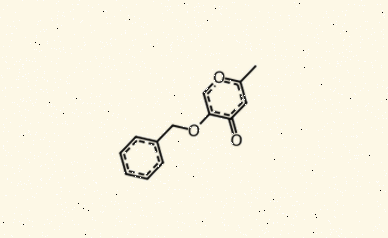 Cc1cc(=O)c(OCc2ccccc2)co1